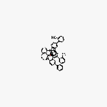 N#Cc1ccccc1-c1ccc2c(c1)c1cc(-c3ccccc3C#N)ccc1n2-c1cccc2c1C(=O)N(c1ccc(-c3ccccc3)cc1-c1ccccc1)COC2